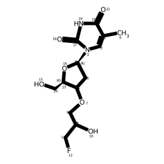 Cc1cn([C@H]2CC(OCC(O)CF)[C@@H](CO)O2)c(=O)[nH]c1=O